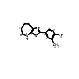 Cc1cc(-c2nc3c(s2)NCCCC3)ccc1C#N